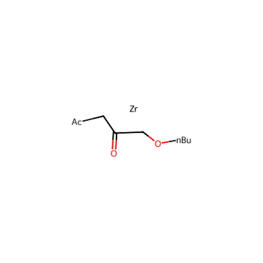 CCCCOCC(=O)CC(C)=O.[Zr]